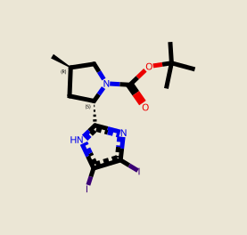 C[C@@H]1C[C@@H](c2nc(I)c(I)[nH]2)N(C(=O)OC(C)(C)C)C1